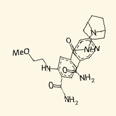 COCCNc1cc(C(=O)NC2CC3CCC(C2)N3c2ccc(C(N)=O)cn2)ccc1C(N)=O